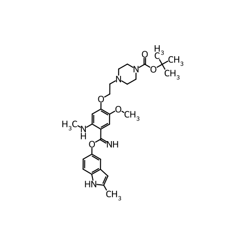 CNc1cc(OCCN2CCN(C(=O)OC(C)(C)C)CC2)c(OC)cc1C(=N)Oc1ccc2[nH]c(C)cc2c1